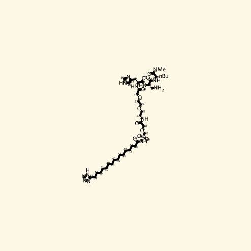 CCCC[C@H](NC(=O)[C@H](CN)NC(=O)[C@H](Cc1c[nH]cn1)NC(=O)COCCOCCNC(=O)COCS(=O)(=O)NC(=O)CCCCCCCCCCCCCCCc1nnn[nH]1)C(=O)NC